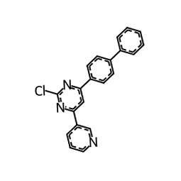 Clc1nc(-c2ccc(-c3ccccc3)cc2)cc(-c2cccnc2)n1